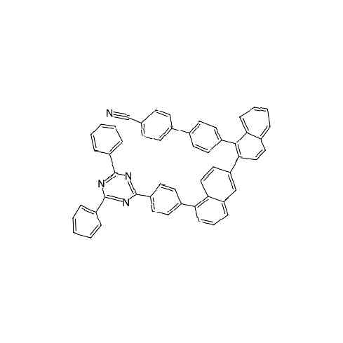 N#Cc1ccc(-c2ccc(-c3c(-c4ccc5c(-c6ccc(-c7nc(-c8ccccc8)nc(-c8ccccc8)n7)cc6)cccc5c4)ccc4ccccc34)cc2)cc1